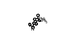 C/C=C\C1=C(C)C(C2C=CCCC2)C2CCC=CC2=C1c1cccc2c(-c3ccncc3-c3ccccc3)cccc12